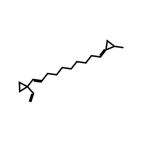 C=CC1(C=CCCCCCCCC=C2CC2C)CC1